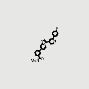 CNC(=O)c1cccc(-c2ccn3c(-c4ccnc(-c5ccc(F)cc5)c4)cnc3c2)c1